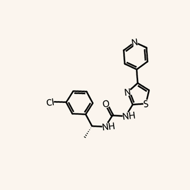 C[C@@H](NC(=O)Nc1nc(-c2ccncc2)cs1)c1cccc(Cl)c1